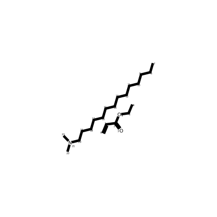 C=CC(=O)OCC.CCCCCCCCCCCCCCN(C)C